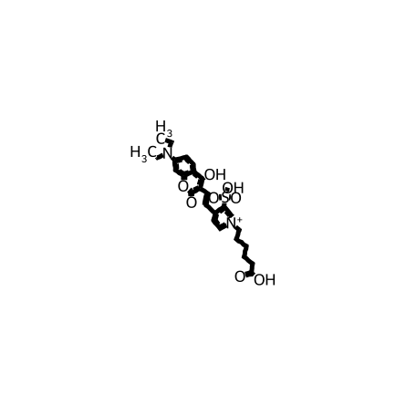 CCN(CC)c1ccc2c(O)c(/C=C/c3cc[n+](CCCCCC(=O)O)cc3S(=O)(=O)O)c(=O)oc2c1